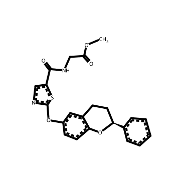 COC(=O)CNC(=O)c1cnc(Oc2ccc3c(c2)CC[C@@H](c2ccccc2)O3)s1